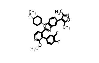 COc1nccc(-c2nc3cc(-c4c(C)noc4C)ccc3n2[C@H]2CC[C@H](OC)CC2)c1-c1ccc(F)c(F)c1